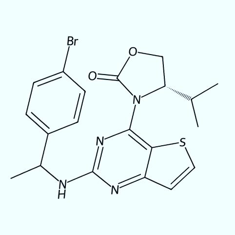 CC(Nc1nc(N2C(=O)OC[C@@H]2C(C)C)c2sccc2n1)c1ccc(Br)cc1